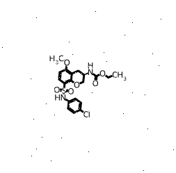 CCOC(=O)N[C@H]1COc2c(S(=O)(=O)Nc3ccc(Cl)cc3)ccc(OC)c2C1